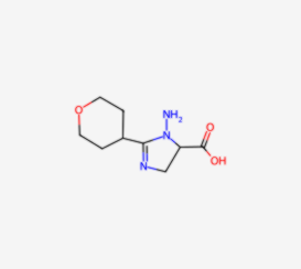 NN1C(C2CCOCC2)=NCC1C(=O)O